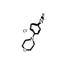 N#[N+]c1ccc(N2CCOCC2)cc1.[Cl-]